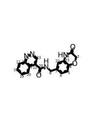 O=C1COc2ccc(CNC(=O)c3cnnc4ccccc34)cc2N1